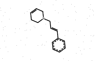 [C]1=CCN(CC=Cc2ccccc2)CC1